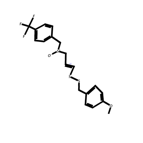 COc1ccc(CSS/C=C/C[S+]([O-])Cc2ccc(C(F)(F)F)cc2)cc1